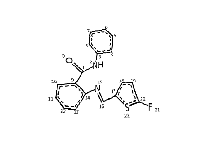 O=C(Nc1ccccc1)c1ccccc1/N=C/c1ccc(F)s1